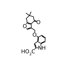 CC1(C)CC(=O)c2c(COc3cccc4[nH]c(C(=O)O)cc34)coc2C1